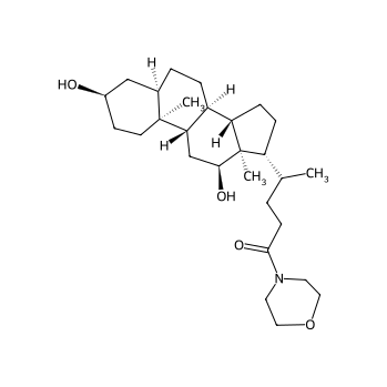 CC(CCC(=O)N1CCOCC1)[C@H]1CC[C@H]2[C@@H]3CC[C@@H]4C[C@H](O)CC[C@]4(C)[C@H]3C[C@H](O)[C@]12C